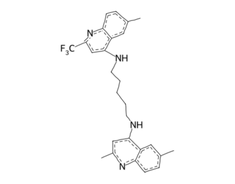 Cc1ccc2nc(C)cc(NCCCCCNc3cc(C(F)(F)F)nc4ccc(C)cc34)c2c1